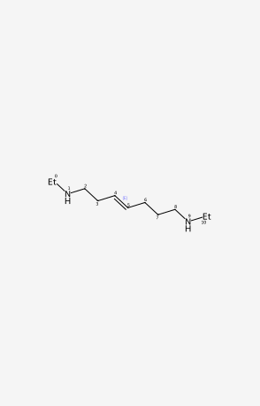 CCNCC/C=C/CCCNCC